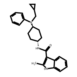 Cc1[nH]c2ccccc2c1C(=O)N[C@H]1CC[C@H](N(CC2CC2)c2ccccc2)CC1